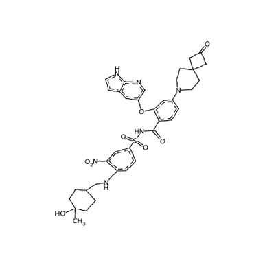 CC1(O)CCC(CNc2ccc(S(=O)(=O)NC(=O)c3ccc(N4CCC5(CC4)CC(=O)C5)cc3Oc3cnc4[nH]ccc4c3)cc2[N+](=O)[O-])CC1